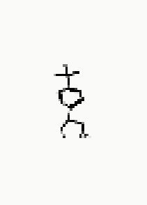 CCC(CN)c1ccc(C(C)(C)C)cc1